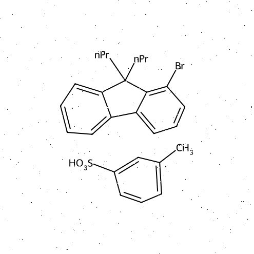 CCCC1(CCC)c2ccccc2-c2cccc(Br)c21.Cc1cccc(S(=O)(=O)O)c1